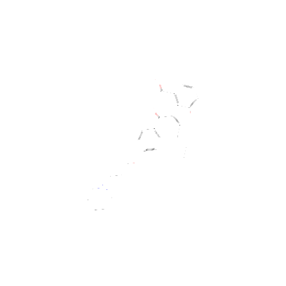 CCCCc1oc2cccc(C(=O)O)c2c1C(=O)c1ccc(OCCCN2CCCCC2)cc1